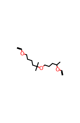 C=COCCCCC(C)(C)OCCCC(C)OC=C